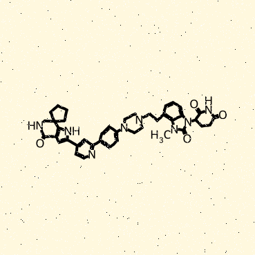 Cn1c(=O)n(C2CCC(=O)NC2=O)c2cccc(CCN3CCN(c4ccc(-c5cc(-c6cc7c([nH]6)C6(CCCC6)CNC7=O)ccn5)cc4)CC3)c21